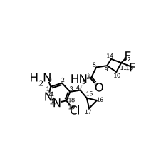 Nc1cc([C@H](NC(=O)CC2CC(F)(F)C2)C2CC2)c(Cl)nn1